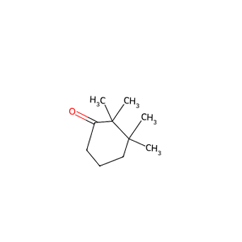 CC1(C)CCCC(=O)C1(C)C